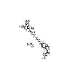 CC(C)c1nc(C(=O)N2CCOC3(CCN(CCCCCCCCCNCC(O)c4ccc(O)c5[nH]c(=O)sc45)CC3)C2)cs1.O=CO